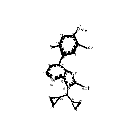 CCc1nc2c(-c3cc(F)c(OC)cc3C)ccnc2n1C(C1CC1)C1CC1